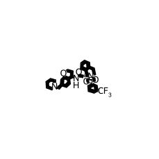 O=C(C[C@@H]1c2ccccc2CCN1S(=O)(=O)c1cccc(C(F)(F)F)c1)N[C@@H]1CCOc2cc(CN3CCCCC3)ccc21